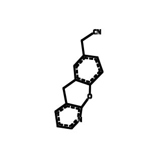 N#CCc1ccc2c(c1)Cc1cccnc1O2